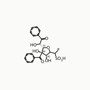 O=C(c1ccccc1)C(O)[C@@H]1OC(C(F)S(=O)(=O)O)[C@@H](O)[C@]1(O)C(=O)c1ccccc1